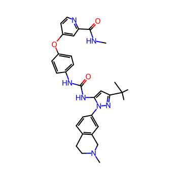 CNC(=O)c1cc(Oc2ccc(NC(=O)Nc3cc(C(C)(C)C)nn3-c3ccc4c(c3)CN(C)CC4)cc2)ccn1